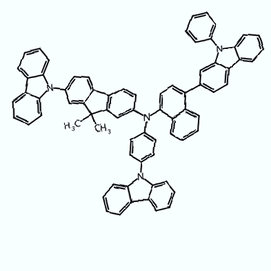 CC1(C)c2cc(N(c3ccc(-n4c5ccccc5c5ccccc54)cc3)c3ccc(-c4ccc5c6ccccc6n(-c6ccccc6)c5c4)c4ccccc34)ccc2-c2ccc(-n3c4ccccc4c4ccccc43)cc21